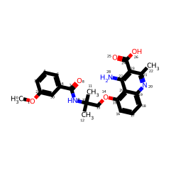 COc1cccc(C(=O)NC(C)(C)COc2cccc3nc(C)c(C(=O)O)c(N)c23)c1